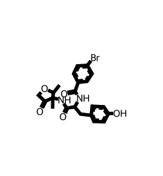 CC1OCC(=O)C1(C)NC(=O)C(Cc1ccc(O)cc1)NC(=O)c1ccc(Br)cc1